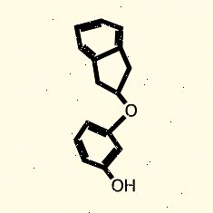 Oc1cccc(OC2Cc3ccccc3C2)c1